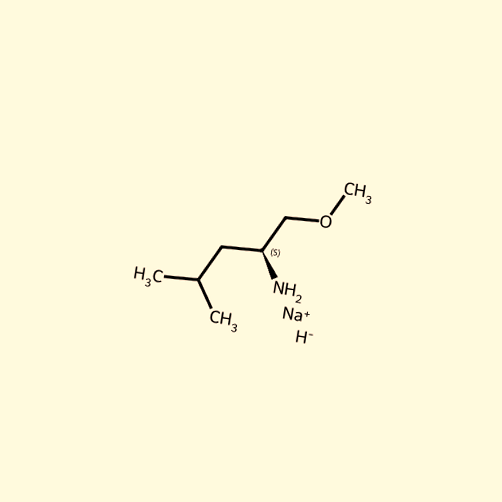 COC[C@@H](N)CC(C)C.[H-].[Na+]